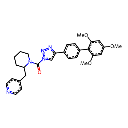 COc1cc(OC)c(-c2ccc(-c3cn(C(=O)N4CCCCC4Cc4ccncc4)nn3)cc2)c(OC)c1